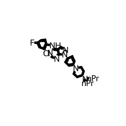 CCCN(CCC)C1CCN(c2ccc(-n3ncc4c(Nc5ccc(F)cc5Cl)ncnc43)cc2)CC1